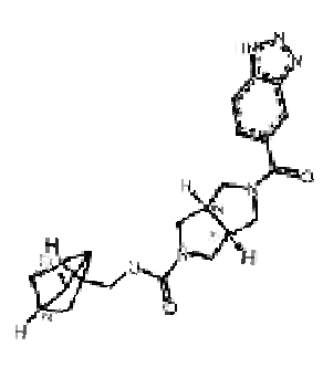 CC1C2[C@@H]3C[C@H]1CC23COC(=O)N1C[C@@H]2CN(C(=O)c3ccc4[nH]nnc4c3)C[C@@H]2C1